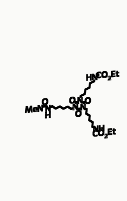 CCOC(=O)NCCCCCCn1c(=O)n(CCCCCCNC(=O)NC)c(=O)n(CCCCCCNC(=O)OCC)c1=O